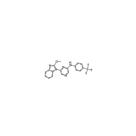 COc1nc2ccccc2n1-c1cncc(Nc2ccc(C(F)(F)F)cc2)n1